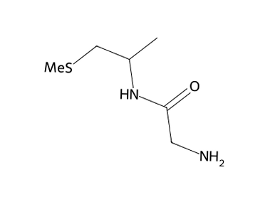 CSCC(C)NC(=O)CN